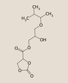 CC(C)C(C)OCC(O)COC(=O)C1COC(=O)O1